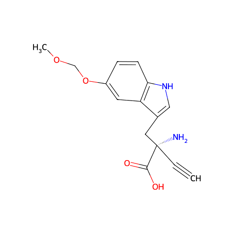 C#C[C@](N)(Cc1c[nH]c2ccc(OCOC)cc12)C(=O)O